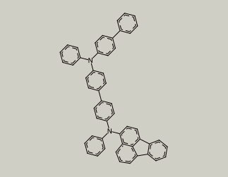 c1ccc(-c2ccc(N(c3ccccc3)c3ccc(-c4ccc(N(c5ccccc5)c5ccc6c7c(cccc57)-c5ccccc5-6)cc4)cc3)cc2)cc1